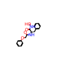 O=C(COc1ccccc1)N[C@H](Cc1ccccc1)C(=O)NO